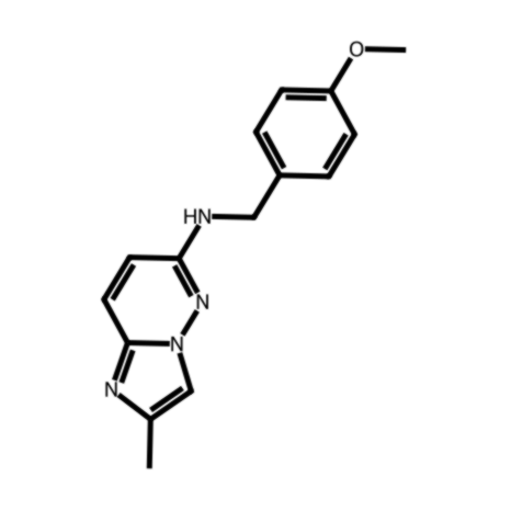 COc1ccc(CNc2ccc3nc(C)cn3n2)cc1